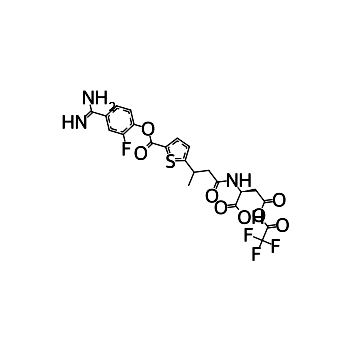 CC(CC(=O)N[C@@H](CC(=O)OC(=O)C(F)(F)F)C(=O)O)c1ccc(C(=O)Oc2ccc(C(=N)N)cc2F)s1